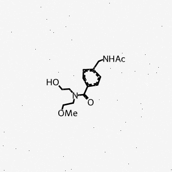 COCCN(CCO)C(=O)c1ccc(CNC(C)=O)cc1